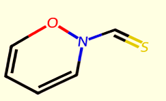 S=CN1C=CC=CO1